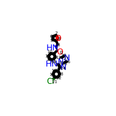 O=C(NCc1ccco1)c1cccc(Nc2c(-c3ccc(Cl)cc3)nc3cnccn23)c1